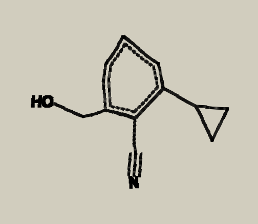 N#Cc1c(CO)cccc1C1CC1